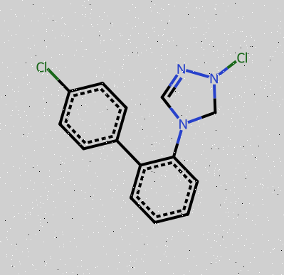 Clc1ccc(-c2ccccc2N2C=NN(Cl)C2)cc1